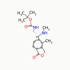 CN[C@@H](CNC(=O)OC(C)(C)C)c1ccc2c(c1C)COC2=O